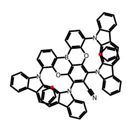 N#Cc1c(-n2c3ccccc3c3ccccc32)c2c3c(c1-n1c4ccccc4c4ccccc41)Oc1c(cccc1-n1c4ccccc4c4ccccc41)B3c1cccc(-n3c4ccccc4c4ccccc43)c1O2